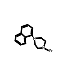 CC(C)N1CCN(c2cccc3ccccc23)CC1